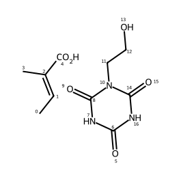 CC=C(C)C(=O)O.O=c1[nH]c(=O)n(CCO)c(=O)[nH]1